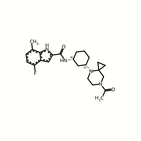 CC(=O)N1CCN([C@H]2CCC[C@@H](NC(=O)c3cc4c(F)ccc(C)c4[nH]3)C2)C2(CC2)C1